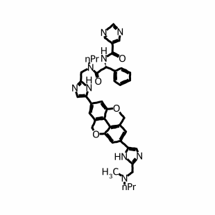 CCCN(C)Cc1ncc(-c2cc3c4c(c2)OCc2cc(-c5cnc(CN(CCC)C(=O)[C@H](NC(=O)c6cncnc6)c6ccccc6)[nH]5)cc(c2-4)OC3)[nH]1